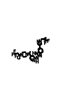 CC(c1ccnc(Nc2nc3ccc(-c4cnn(CC5CC5(F)F)c4)cc3[nH]2)c1)N1CCN(C(=O)CC(F)(F)F)CC1